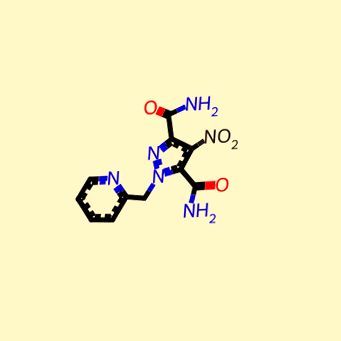 NC(=O)c1nn(Cc2ccccn2)c(C(N)=O)c1[N+](=O)[O-]